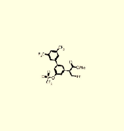 COC(=O)C(CC(C)C)c1cc(OS(=O)(=O)C(F)(F)F)cc(-c2cc(C(F)(F)F)cc(C(F)(F)F)c2)c1